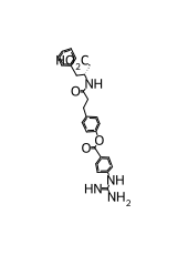 N=C(N)Nc1ccc(C(=O)Oc2ccc(CCC(=O)N[C@@H](CC(=O)O)Cc3ccccc3)cc2)cc1